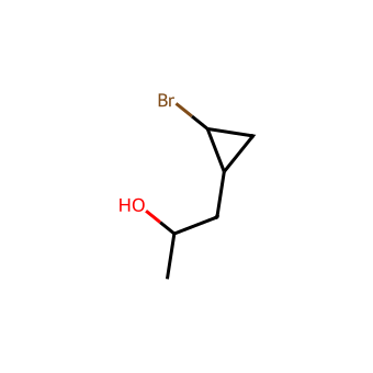 CC(O)CC1CC1Br